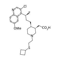 COc1ccc2ncc(Cl)c([C@@H](F)CC[C@@H]3CCN(CCSC4CCC4)C[C@@H]3CC(=O)O)c2c1